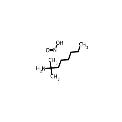 CCCCCCC(C)(C)N.O=NO